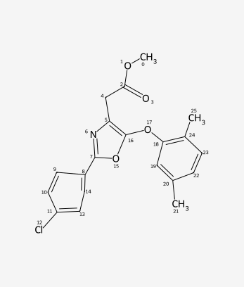 COC(=O)Cc1nc(-c2ccc(Cl)cc2)oc1Oc1cc(C)ccc1C